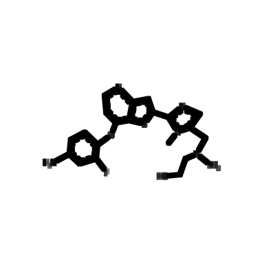 BN(CCO)Cc1cnc(-c2cc3nccc(Oc4ccc(N)cc4F)c3s2)n1C